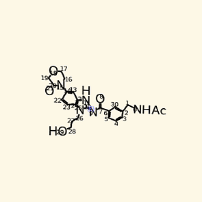 CC(=O)NCc1cccc(C(=O)/N=c2\[nH]c3cc(N4CCOCC4=O)ccc3n2CCCO)c1